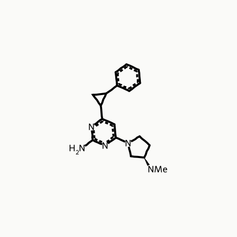 CN[C@@H]1CCN(c2cc(C3CC3c3ccccc3)nc(N)n2)C1